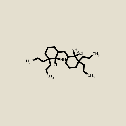 CCCC1(CCC)CCCC(CC2CCCC(CCC)(CCC)C2(N)Cl)C1(N)Cl